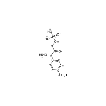 O=C(O)c1ccc(C(O)C(=O)COP(=O)(O)O)cc1.[KH]